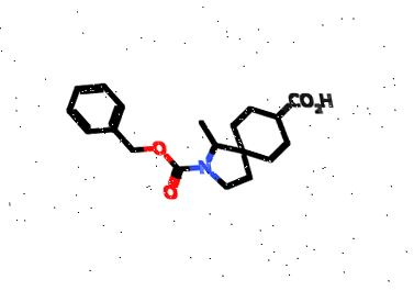 CC1N(C(=O)OCc2ccccc2)CCC12CCC(C(=O)O)CC2